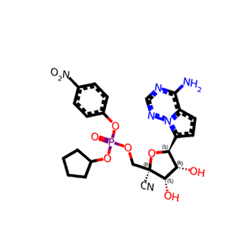 N#C[C@]1(COP(=O)(Oc2ccc([N+](=O)[O-])cc2)OC2CCCC2)O[C@@H](c2ccc3c(N)ncnn23)[C@H](O)[C@@H]1O